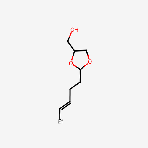 CC/C=C/CCC1OCC(CO)O1